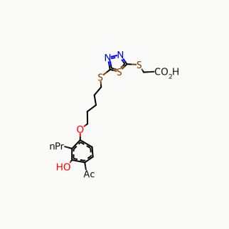 CCCc1c(OCCCCCSc2nnc(SCC(=O)O)s2)ccc(C(C)=O)c1O